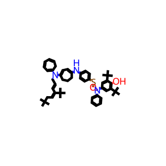 CC(C)(C)C/C=C(\C=C\CN(C1=CC=CC=CC1)C1=CC=C(Nc2ccc(SON(c3ccccc3)c3cc(C(C)(C)C)c(O)c(C(C)(C)C)c3)cc2)CCC1)C(C)(C)C